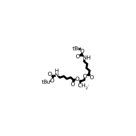 [CH2]C(COC(=O)CCCCNC(=O)OC(C)(C)C)OC(=O)CCCCNC(=O)OC(C)(C)C